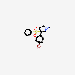 CN1CCC(c2ccc(Br)cc2)(S(=O)(=O)c2ccccc2)C1